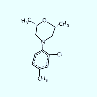 Cc1ccc(N2C[C@@H](C)O[C@@H](C)C2)c(Cl)c1